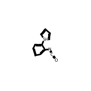 O=C=Nc1ccccc1[SH]1C=CC=C1